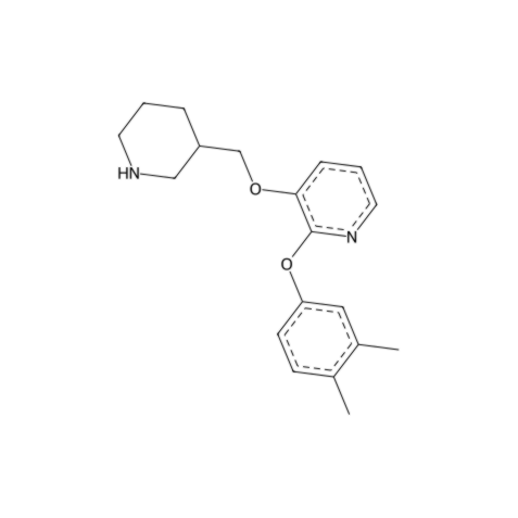 Cc1ccc(Oc2ncccc2OCC2CCCNC2)cc1C